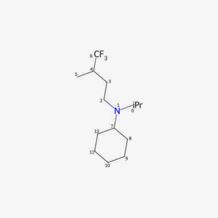 CC(C)N(CCC(C)C(F)(F)F)C1CCCCC1